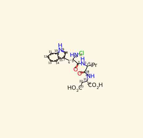 CC(C)[C@H](NC(=O)[C@H](Cc1c[nH]c2ccccc12)NCl)C(=O)N[C@@H](CC(=O)O)C(=O)O